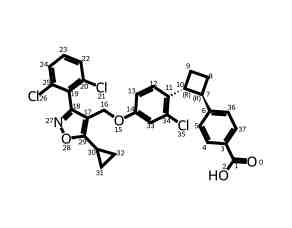 O=C(O)c1ccc([C@@H]2CC[C@H]2c2ccc(OCc3c(-c4c(Cl)cccc4Cl)noc3C3CC3)cc2Cl)cc1